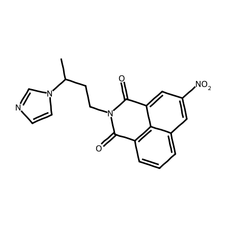 CC(CCN1C(=O)c2cccc3cc([N+](=O)[O-])cc(c23)C1=O)n1ccnc1